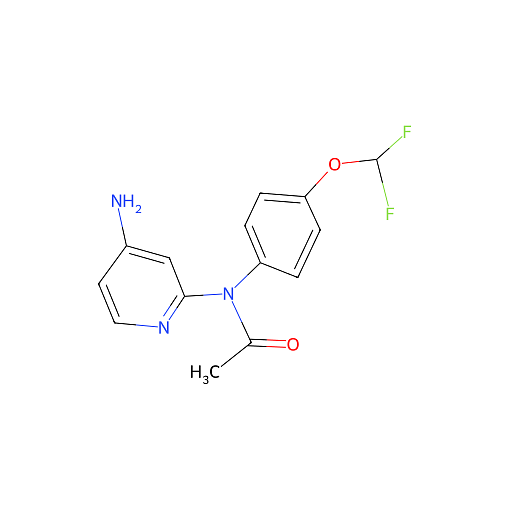 CC(=O)N(c1ccc(OC(F)F)cc1)c1cc(N)ccn1